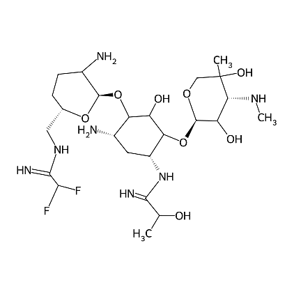 CN[C@@H]1C(O)[C@@H](OC2C(O)C(O[C@H]3O[C@H](CNC(=N)C(F)F)CCC3N)[C@@H](N)C[C@H]2NC(=N)C(C)O)OCC1(C)O